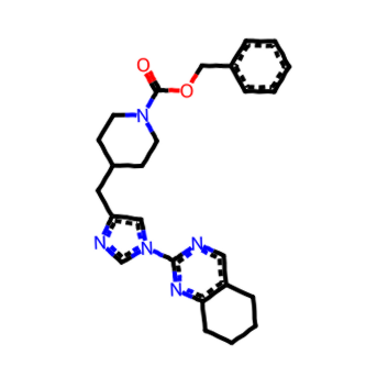 O=C(OCc1ccccc1)N1CCC(Cc2cn(-c3ncc4c(n3)CCCC4)cn2)CC1